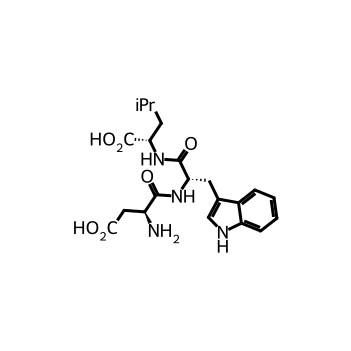 CC(C)C[C@H](NC(=O)[C@H](Cc1c[nH]c2ccccc12)NC(=O)[C@@H](N)CC(=O)O)C(=O)O